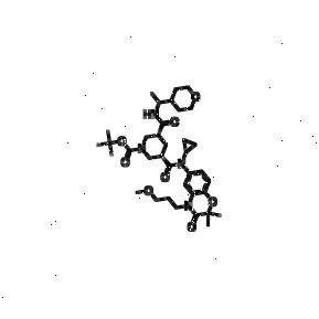 COCCCN1C(=O)C(C)(C)Oc2ccc(N(C(=O)[C@@H]3C[C@H](C(=O)NC(C)C4CCOCC4)CN(C(=O)OC(C)(C)C)C3)C3CC3)cc21